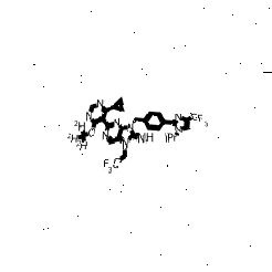 [2H]C([2H])([2H])Oc1ncnc(C2CC2)c1-c1ncc2c(n1)n(Cc1ccc(-c3nc(C(F)(F)F)cn3C(C)C)cc1)c(=N)n2CC(F)(F)F